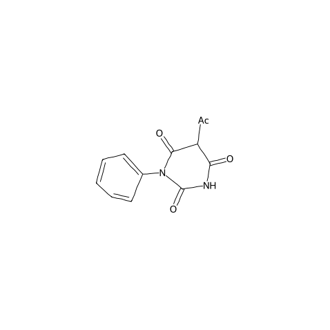 CC(=O)C1C(=O)NC(=O)N(c2ccccc2)C1=O